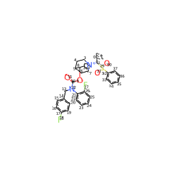 CCC([N+]12CCC(CC1)C(OC(=O)N(Cc1ccc(F)cc1)c1ccccc1F)C2)S(=O)(=O)c1ccccc1